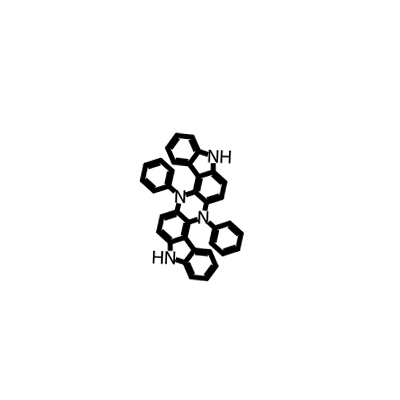 c1ccc(N2c3ccc4[nH]c5ccccc5c4c3N(c3ccccc3)c3ccc4[nH]c5ccccc5c4c32)cc1